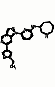 CCn1cc(-c2cc3c(cn2)cnn3-c2cccc(NC3CCCCNC3)n2)cn1